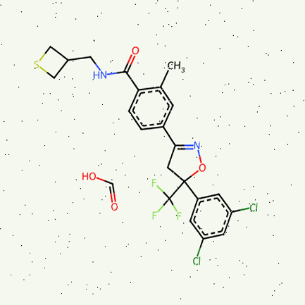 Cc1cc(C2=NOC(c3cc(Cl)cc(Cl)c3)(C(F)(F)F)C2)ccc1C(=O)NCC1CSC1.O=CO